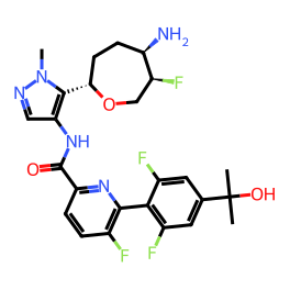 Cn1ncc(NC(=O)c2ccc(F)c(-c3c(F)cc(C(C)(C)O)cc3F)n2)c1[C@@H]1CC[C@@H](N)[C@@H](F)CO1